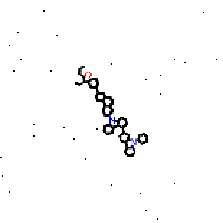 C=Cc1c(/C=C\C)oc2ccc(-c3ccc4c(ccc5cc(-n6c7ccccc7c7c(-c8ccc9c%10ccccc%10n(-c%10ccccc%10)c9c8)cccc76)ccc54)c3)cc12